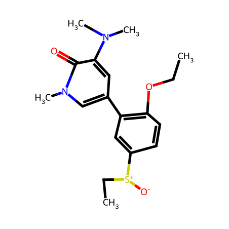 CCOc1ccc([S+]([O-])CC)cc1-c1cc(N(C)C)c(=O)n(C)c1